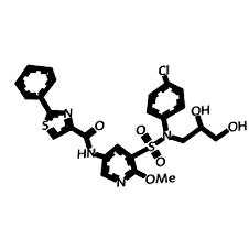 COc1ncc(NC(=O)c2csc(-c3ccccc3)n2)cc1S(=O)(=O)N(CC(O)CO)c1ccc(Cl)cc1